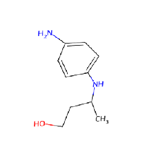 CC(CCO)Nc1ccc(N)cc1